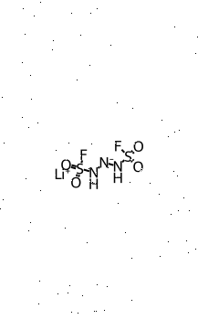 O=S(=O)(F)N[N-]NS(=O)(=O)F.[Li+]